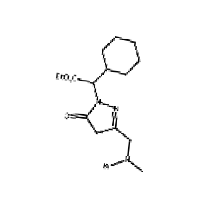 CCOC(=O)C(C1CCCCC1)N1N=C(CN(C)Br)CC1=O